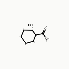 Cl.O=C(O)C1C[CH]CCC1